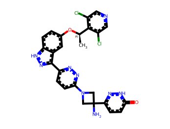 C[C@@H](Oc1ccc2[nH]nc(-c3ccc(N4CC(N)(c5ccc(=O)[nH]n5)C4)nn3)c2c1)c1c(Cl)cncc1Cl